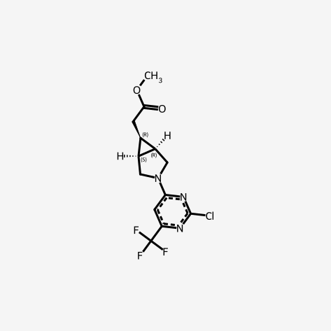 COC(=O)C[C@H]1[C@H]2CN(c3cc(C(F)(F)F)nc(Cl)n3)C[C@@H]12